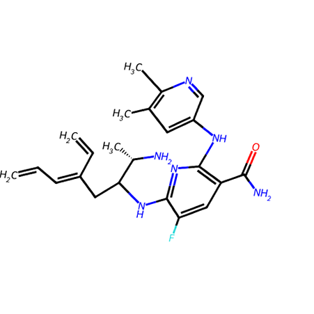 C=C/C=C(\C=C)CC(Nc1nc(Nc2cnc(C)c(C)c2)c(C(N)=O)cc1F)[C@H](C)N